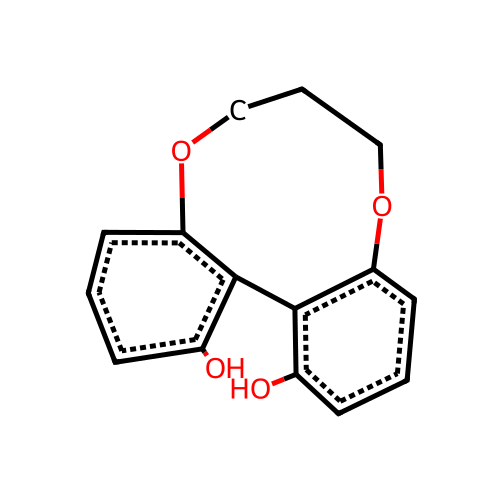 Oc1cccc2c1-c1c(O)cccc1OCCCO2